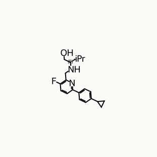 CC(C)[C@H](CO)NCc1nc(-c2ccc(C3CC3)cc2)ccc1F